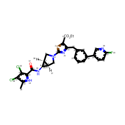 CCOC(=O)c1sc(N2C[C@@H]3[C@H](C2)[C@@H]3NC(=O)c2[nH]c(C)c(Cl)c2Cl)nc1Cc1cccc(-c2ccc(F)nc2)c1